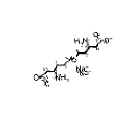 N[C@H](CCSSCC[C@@H](N)CS(=O)[O-])CS(=O)[O-].[Na+].[Na+]